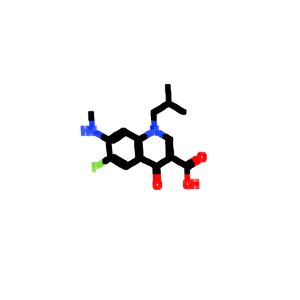 CNc1cc2c(cc1F)c(=O)c(C(=O)O)cn2CC(C)C